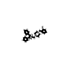 Fc1ccccc1CN1CCN(Cc2nc(-c3ccccc3)c(-c3ccccc3)o2)CC1